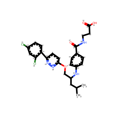 CC(C)CC(COc1ccc(-c2ccc(Cl)cc2Cl)nn1)Nc1ccc(C(=O)NCCC(=O)O)cc1